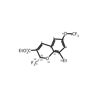 CCOC(=O)C1=Cc2cc(OC(F)(F)F)cc(CC)c2O[C@@H]1C(F)(F)F